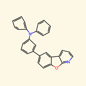 c1ccc(N(c2ccccc2)c2cccc(-c3ccc4oc5ncccc5c4c3)c2)cc1